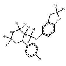 [2H]C1([2H])CC(c2ccc(F)cc2)[C@@]([2H])(C([2H])([2H])Oc2ccc3c(c2)OC([2H])([2H])O3)C([2H])([2H])N1